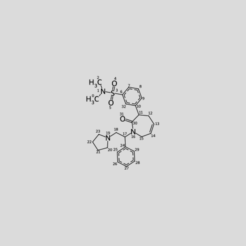 CN(C)S(=O)(=O)c1cccc(C2CC=CCN(C(CN3CCCC3)c3ccccc3)C2=O)c1